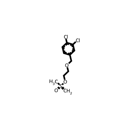 C=S(C)(=O)OCCOCc1ccc(Cl)c(Cl)c1